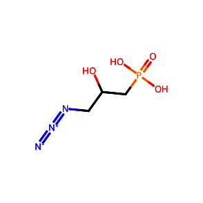 [N-]=[N+]=NCC(O)CP(=O)(O)O